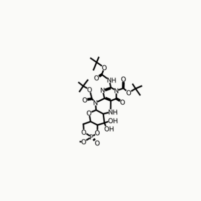 COP1(=O)OCC2OC3C(Nc4c(nc(NC(=O)OC(C)(C)C)n(C(=O)OC(C)(C)C)c4=O)N3C(=O)OC(C)(C)C)C(O)(O)C2O1